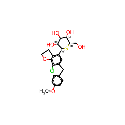 COc1ccc(Cc2cc([C@@H]3S[C@H](CO)[C@@H](O)C(O)[C@H]3O)c3c(c2Cl)OCC3)cc1